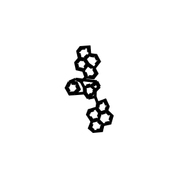 c1cc2ccc3ccc(C4c5c6c7c8c(c5C8C7c5ccc7ccc8cccc9ccc5c7c89)C4c4ccc-6cc4)c4ccc(c1)c2c34